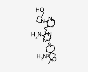 C[C@@H]1OCC2(CCN(c3cnc(Sc4cccnc4N4CCCC4CO)c(N)n3)CC2)[C@@H]1N